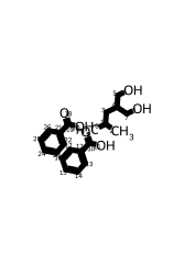 CC(C)CC(CO)CO.O=C(O)c1ccccc1.O=C(O)c1ccccc1